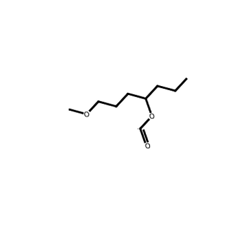 CCCC(CCCOC)O[C]=O